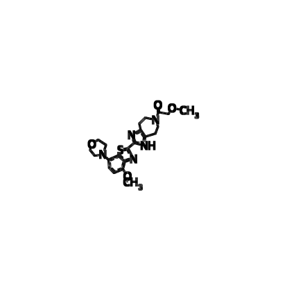 COCC(=O)N1CCc2nc(-c3nc4c(OC)ccc(N5CCOCC5)c4s3)[nH]c2CC1